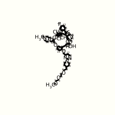 COCCOCCOCCC1CCN(c2nccc(COc3ccc4cc3C[C@H](C(=O)O)Oc3ncnc5sc(-c6ccc(F)cc6)c(c35)-c3c(C)c(Cl)c(c(Cl)c3C)O[C@H](CN3CCN(C)CC3)CO4)n2)CC1